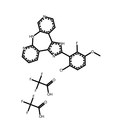 COc1ccc(Cl)c(-c2nc3c([nH]2)-c2ccncc2Nc2ncccc2-3)c1F.O=C(O)C(F)(F)F.O=C(O)C(F)(F)F